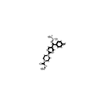 CC(C)(C)OC(=O)N1CCN(c2ncc(C(=N[S+]([O-])C(C)(C)C)c3ccc(F)cc3)cn2)CC1